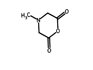 CN1CC(=O)OC(=O)C1